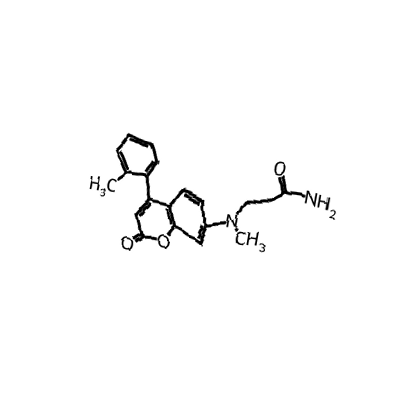 Cc1ccccc1-c1cc(=O)oc2cc(N(C)CCC(N)=O)ccc12